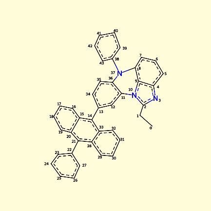 CCc1nc2cccc3c2n1-c1cc(-c2c4ccccc4c(-c4ccccc4)c4ccccc24)ccc1N3c1ccccc1